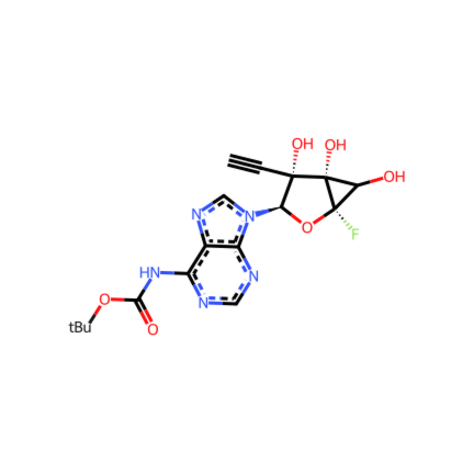 C#C[C@]1(O)[C@H](n2cnc3c(NC(=O)OC(C)(C)C)ncnc32)O[C@]2(F)C(O)[C@@]21O